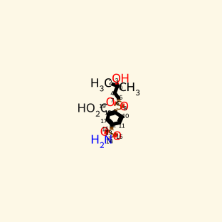 CC(C)(O)CCS(=O)(=O)c1ccc(S(N)(=O)=O)cc1C(=O)O